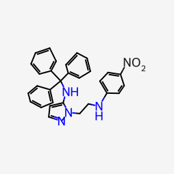 O=[N+]([O-])c1ccc(NCCn2nccc2NC(c2ccccc2)(c2ccccc2)c2ccccc2)cc1